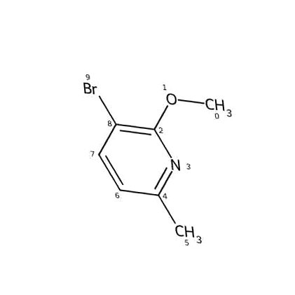 COc1nc(C)ccc1Br